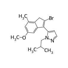 COc1cc(C)c2c(c1)C(c1ccnn1CC(C)C)=C(Br)C2